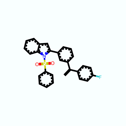 C=C(c1ccc(F)cc1)c1cccc(-c2cc3ccccc3n2S(=O)(=O)c2ccccc2)c1